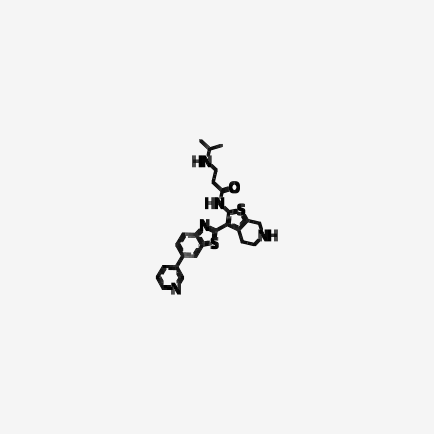 CC(C)NCCC(=O)Nc1sc2c(c1-c1nc3ccc(-c4cccnc4)cc3s1)CCNC2